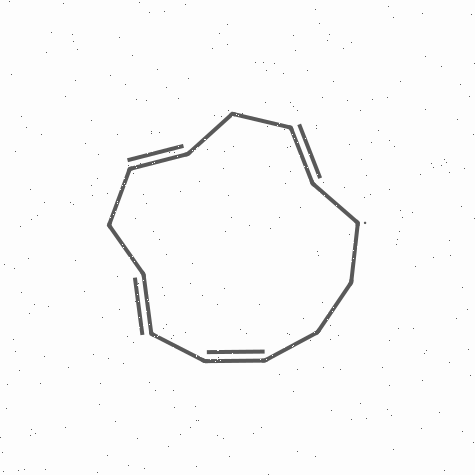 [CH]1/C=C/C/C=C/C/C=C/C=C\CC1